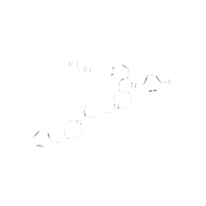 Cl.Cl.O=C(CCCN1CCC2C(C1)c1cc(F)ccc1N2c1ccc(F)cc1)N1CCN(Cc2ccccc2)CC1